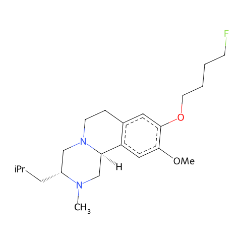 COc1cc2c(cc1OCCCCF)CCN1C[C@@H](CC(C)C)N(C)C[C@H]21